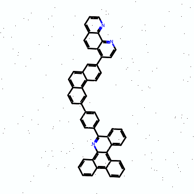 c1cnc2c(c1)ccc1c(-c3ccc4c(ccc5ccc(-c6ccc(-c7nc8c9ccccc9c9ccccc9c8c8ccccc78)cc6)cc54)c3)ccnc12